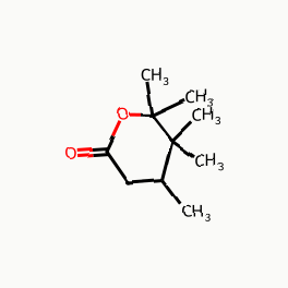 CC1CC(=O)OC(C)(C)C1(C)C